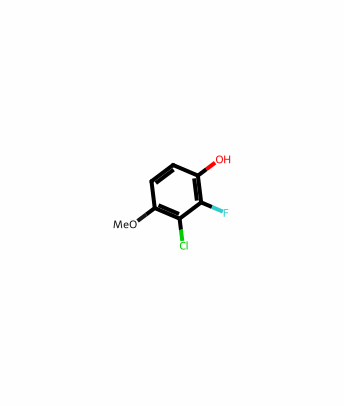 COc1ccc(O)c(F)c1Cl